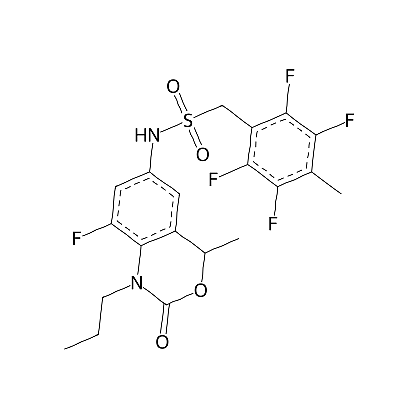 CCCN1C(=O)OC(C)c2cc(NS(=O)(=O)Cc3c(F)c(F)c(C)c(F)c3F)cc(F)c21